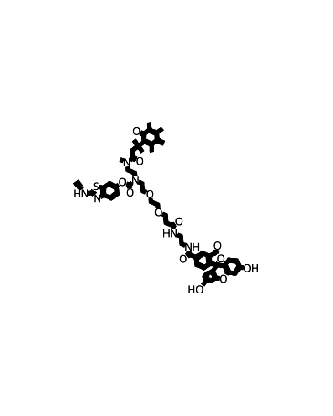 C#CNc1nc2ccc(OC(=O)N(CCOCCOCCC(=O)NCCNC(=O)c3ccc4c(c3)C(=O)OC43c4ccc(O)cc4Oc4cc(O)ccc43)CCN(C)C(=O)CC(C)(C)C3=C(C)C(=C)C(C)=C(C)C3=O)cc2s1